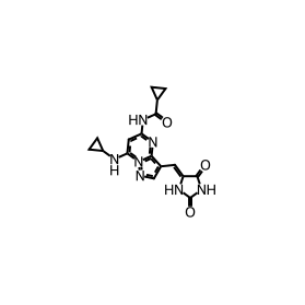 O=C1NC(=O)C(=Cc2cnn3c(NC4CC4)cc(NC(=O)C4CC4)nc23)N1